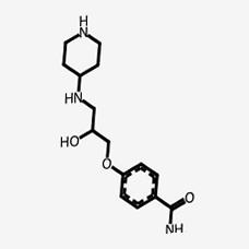 NC(=O)c1ccc(OCC(O)CNC2CCNCC2)cc1